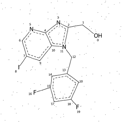 OCc1nc2ncc(I)cc2n1Cc1cc(F)cc(F)c1